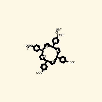 O=C([O-])c1ccc(-c2c3nc(c(-c4ccc(C(=O)[O-])cc4)c4ccc([nH]4)c(-c4ccc(C(=O)[O-])cc4)c4nc(c(-c5ccc(C(=O)[O-])cc5)c5ccc2[nH]5)C=C4)C=C3)cc1.[Cl][Rh+2].[Cl][Rh+2]